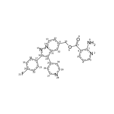 Nc1ncccc1C(=O)OCc1ccn2nc(-c3ccc(F)cc3)c(-c3ccncc3)c2c1